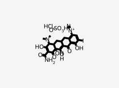 CN(C)C1C(O)=C(C(N)=O)C(=O)C2(O)C(O)=C3C(=O)c4c(O)c(I)cc([N+]#N)c4CC3CC12.Cl.O=S(=O)([O-])O